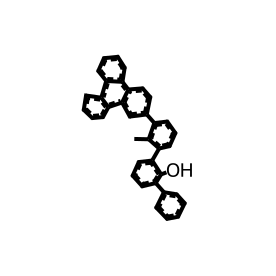 Cc1c(-c2ccc3c4ccccc4c4ccccc4c3c2)cccc1-c1cccc(-c2ccccc2)c1O